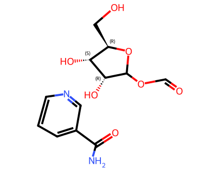 NC(=O)c1cccnc1.O=COC1O[C@H](CO)[C@@H](O)[C@H]1O